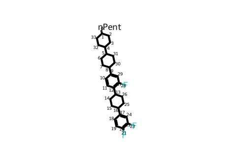 CCCCCC1CCC(C2CCC(c3ccc(C4CCC(c5ccc(F)c(F)c5)CC4)c(F)c3)CC2)CC1